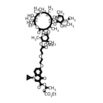 CCOC(=O)OC(C)OC(=O)c1cn(C2CC2)c2ccc(OCCOCCC(=O)O[C@H]3[C@H](C)OC(O[C@H]4[C@H](C)[C@@H](OC5O[C@H](C)C[C@H](N(C)C)[C@H]5O)[C@](C)(O)C[C@@H](C)CN(C)[C@H](C)[C@@H](O)[C@](C)(O)[C@@H](CC)OC(=O)[C@@H]4C)C[C@]3(C)OC)cc2c1=O